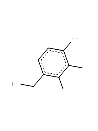 N#CCc1ccc(C(F)(F)F)c(F)c1F